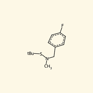 CN(Cc1ccc(F)cc1)SC(C)(C)C